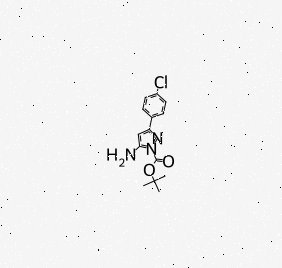 CC(C)(C)OC(=O)n1nc(-c2ccc(Cl)cc2)cc1N